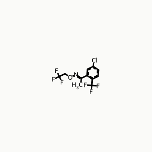 C/C(=N\OCC(F)(F)F)c1cc(Cl)ccc1C(F)(F)F